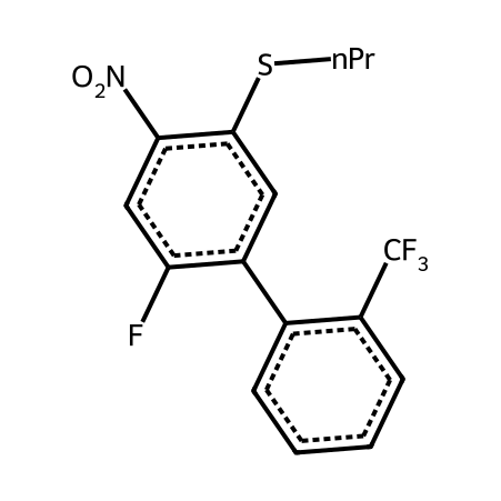 CCCSc1cc(-c2ccccc2C(F)(F)F)c(F)cc1[N+](=O)[O-]